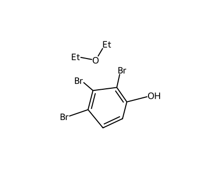 CCOCC.Oc1ccc(Br)c(Br)c1Br